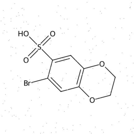 O=S(=O)(O)c1cc2c(cc1Br)OCCO2